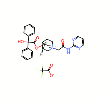 O=C(C[N+]12CCC(CC1)[C@@H](OC(=O)C(O)(c1ccccc1)c1ccccc1)C2)Nc1ncccn1.O=C([O-])C(F)(F)F